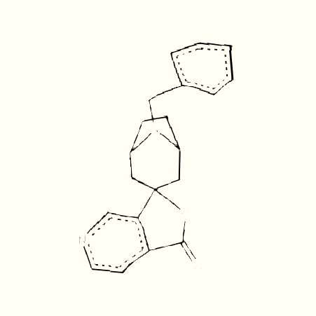 O=C1OC2(CC3CCC(C2)N3Cc2ccccc2)c2cnccc21